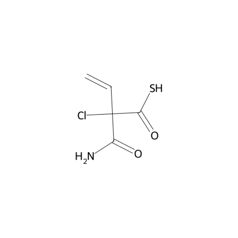 C=CC(Cl)(C(N)=O)C(=O)S